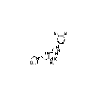 CC(CCN1CCOCC1)Nc1cn(-c2ccc(Cl)c(Cl)c2)nn1.Cl